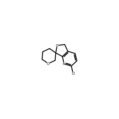 Clc1ccc2c(n1)C1(CCCOC1)OC2